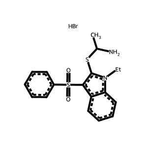 Br.CCn1c(SC(C)N)c(S(=O)(=O)c2ccccc2)c2ccccc21